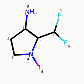 NC1CCN(I)C1C(F)F